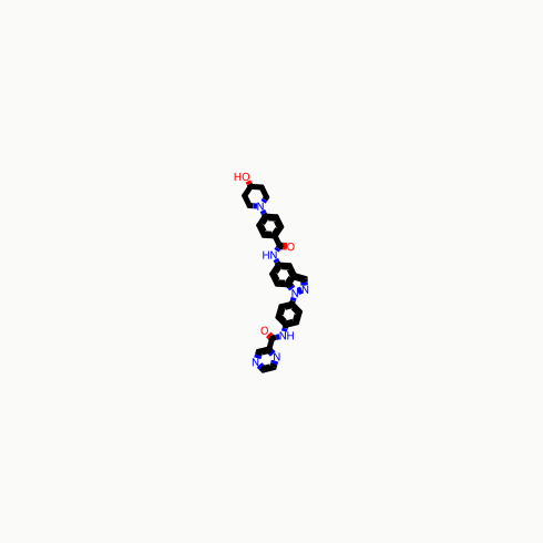 O=C(Nc1ccc2c(cnn2-c2ccc(NC(=O)c3cnccn3)cc2)c1)c1ccc(N2CCC(O)CC2)cc1